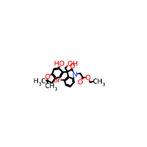 CCOC(=O)CN1C(=O)C(CO)(c2cc3c(cc2O)OC(C)(C)C3)c2c(Br)cccc21